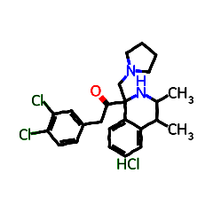 CC1NC(CN2CCCC2)(C(=O)Cc2ccc(Cl)c(Cl)c2)c2ccccc2C1C.Cl